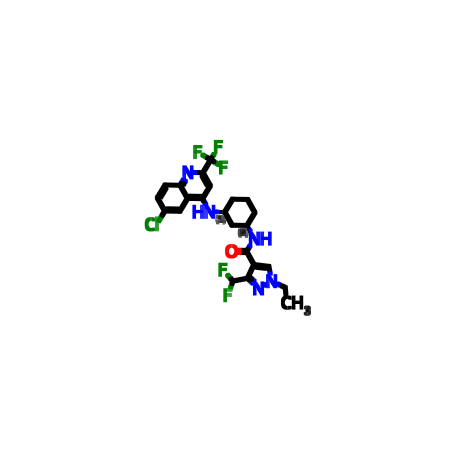 CCn1cc(C(=O)N[C@@H]2CCC[C@H](Nc3cc(C(F)(F)F)nc4ccc(Cl)cc34)C2)c(C(F)F)n1